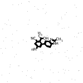 CCCc1cc(C#N)c(C(C)O)c(-c2ccc3[nH]c(C)nc3c2)c1